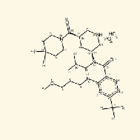 COCCCNc1nc(C(C)(C)C)ncc1C(=O)N(CC(C)C)[C@@H]1CNC[C@H](C(=O)N2CCC(F)(F)CC2)C1.Cl.Cl